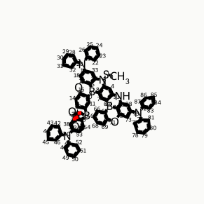 CSN1c2cc3c(cc2B2c4cc5c(cc4Oc4cc(N(c6ccccc6)c6ccccc6)cc1c42)Oc1cc(N(c2ccccc2)c2ccccc2)cc2c1B5c1ccccc1O2)B1c2ccccc2Oc2cc(N(c4ccccc4)c4ccccc4)cc(c21)N3